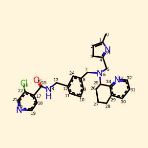 CC1=CCC(CN(Cc2cccc(CNC(=O)c3ccncc3Cl)c2)C2CCCc3cccnc32)=N1